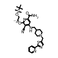 C[C@H](CO[Si](C)(C)C(C)(C)C)Oc1nc(C(N)=O)cc(NCC2CCN(Cc3cnc(-c4ccccn4)s3)CC2)c1C#N